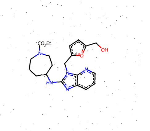 CCOC(=O)N1CCCC(Nc2nc3cccnc3n2Cc2ccc(CO)o2)CC1